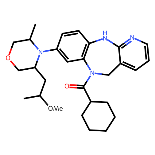 COC(C)CC1COCC(C)N1c1ccc2c(c1)N(C(=O)C1CCCCC1)Cc1cccnc1N2